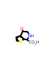 O=C1CNC(C(=O)O)c2sccc21